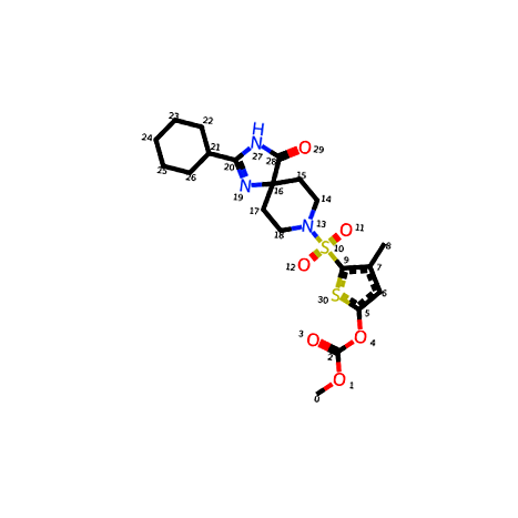 COC(=O)Oc1cc(C)c(S(=O)(=O)N2CCC3(CC2)N=C(C2CCCCC2)NC3=O)s1